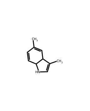 CC1=CC2C(C)=CNC2C=C1